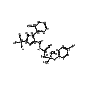 CC(C)(Cc1ccc(F)cc1)NC(=O)COc1cc(C(F)(F)F)nn1C1=CC=CCC1Cl